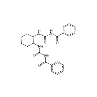 O=C(NC(=S)NC1CCCCC1NC(=S)NC(=O)c1ccccc1)c1ccccc1